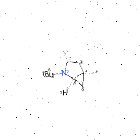 C[C@@H]1C[C@@]2(C)C[C@H]2N1C(C)(C)C